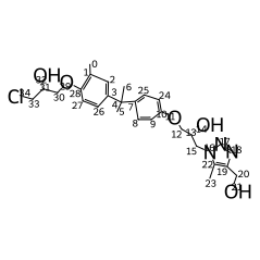 Cc1cc(C(C)(C)c2ccc(OC[C@H](O)Cn3nnc(CO)c3C)cc2)ccc1OC[C@@H](O)CCl